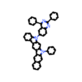 c1ccc(-c2nc(-c3ccccc3)c3cc(-n4c5ccccc5c5cc6c7cc8ccccc8cc7n(-c7ccccc7)c6cc54)ccc3n2)cc1